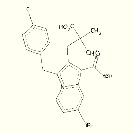 CC(C)c1ccn2c(Cc3ccc(Cl)cc3)c(CC(C)(C)C(=O)O)c(C(=O)C(C)(C)C)c2c1